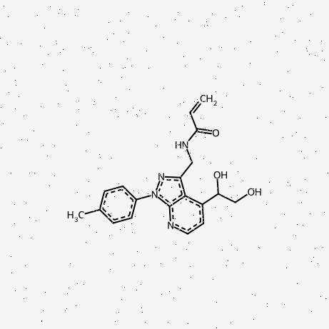 C=CC(=O)NCc1nn(-c2ccc(C)cc2)c2nccc(C(O)CO)c12